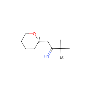 CCC(C)(C)C(=N)C[SiH]1CCCCO1